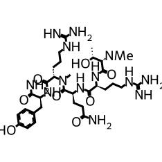 CN[C@H](C(=O)N[C@@H](CCCNC(=N)N)C(=O)N[C@@H](CCC(N)=O)C(=O)N(C)[C@@H](CCCNC(=N)N)C(=O)N[C@@H](Cc1ccc(O)cc1)C(N)=O)[C@@H](C)O